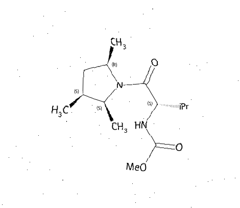 COC(=O)N[C@H](C(=O)N1[C@H](C)C[C@H](C)[C@@H]1C)C(C)C